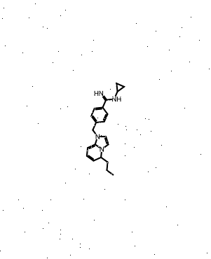 CCCC1C=CC=C2N(Cc3ccc(C(=N)NC4CC4)cc3)C=CN21